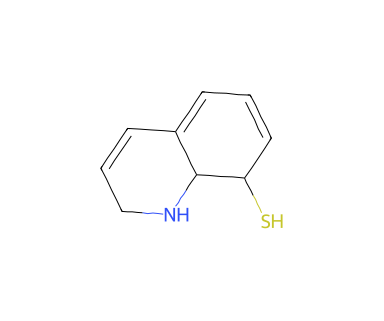 SC1C=CC=C2C=CCNC21